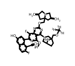 [2H]C([2H])([2H])OCC12CCC(CN(c3nc(OCC45CC(=C)CN4CC(=C)C5)nc4c(F)c(-c5cc(O)cc6ccc(F)c(C#C)c56)nc(OC(C)C)c34)C1)N2